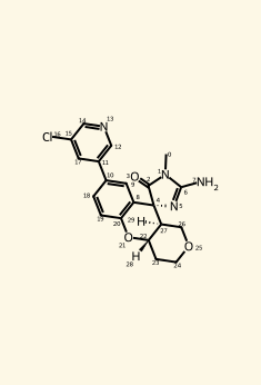 CN1C(=O)[C@]2(N=C1N)c1cc(-c3cncc(Cl)c3)ccc1O[C@H]1CCOC[C@@H]12